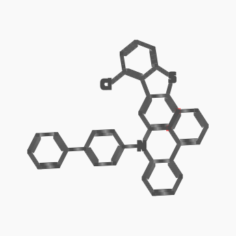 Clc1cccc2sc3ccc(N(c4ccc(-c5ccccc5)cc4)c4ccccc4-c4ccccc4)cc3c12